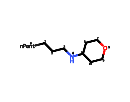 CCCCCCCCNC1CCOCC1